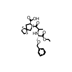 CCOC(=O)[C@H](COCc1ccccc1)NC(C)C(=O)N1CC2(C[C@H]1C(=O)O)SCCS2